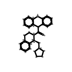 O=C(C1c2ccccc2Oc2ccccc21)N1CCc2ccccc2[C@@H]1CN1CCCC1